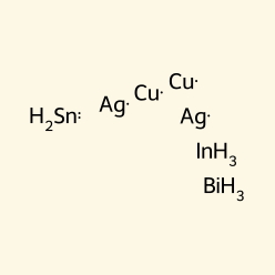 [Ag].[Ag].[BiH3].[Cu].[Cu].[InH3].[SnH2]